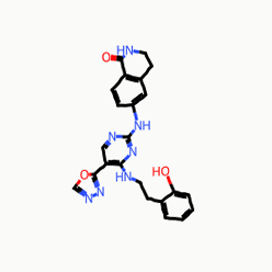 O=C1NCCc2cc(Nc3ncc(-c4nnco4)c(NCCc4ccccc4O)n3)ccc21